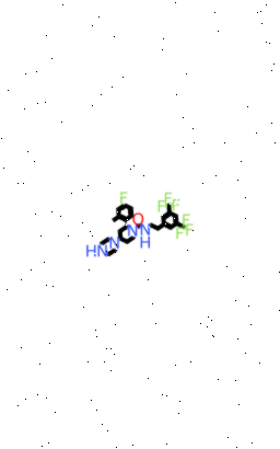 Cc1cc(F)ccc1[C@H]1CC(N2CCNCC2)CCN1C(=O)NCCc1cc(C(F)(F)F)cc(C(F)(F)F)c1